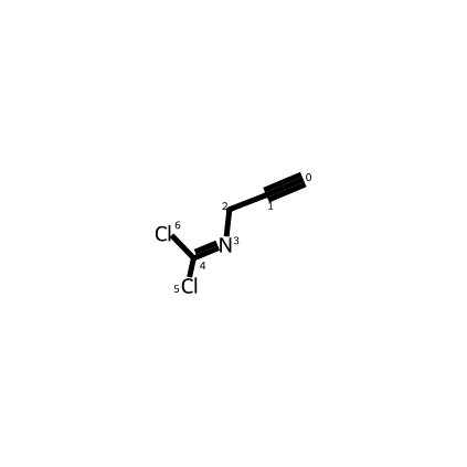 C#CCN=C(Cl)Cl